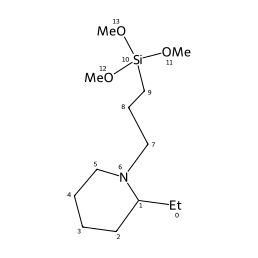 CCC1CCCCN1CCC[Si](OC)(OC)OC